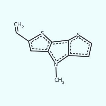 C=Cc1cc2c(s1)c1sccc1n2C